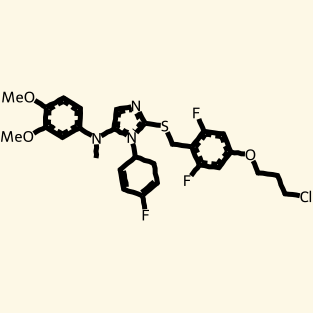 COc1ccc(N(C)c2cnc(SCc3c(F)cc(OCCCCl)cc3F)n2C2C=CC(F)=CC2)cc1OC